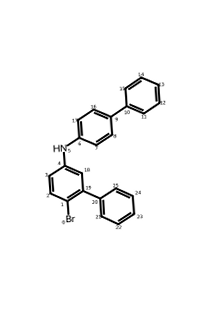 Brc1ccc(Nc2ccc(-c3ccccc3)cc2)cc1-c1ccccc1